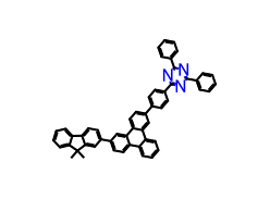 CC1(C)c2ccccc2-c2ccc(-c3ccc4c5ccccc5c5cc(-c6ccc(-c7nc(-c8ccccc8)nc(-c8ccccc8)n7)cc6)ccc5c4c3)cc21